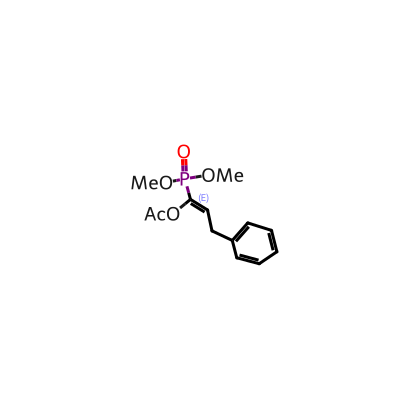 COP(=O)(OC)/C(=C/Cc1ccccc1)OC(C)=O